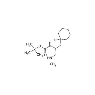 CNCC(CC1(F)CCCCC1)NC(=O)OC(C)(C)C